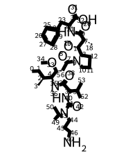 CC[C@H](C)[C@@H]([C@@H](CC(=O)N1CCCC1[C@H](OC)[C@@H](C)C(=O)NC(Cc1ccccc1)C(=O)O)OC)N(C)C(=O)C(NC(=O)N(CCCN)C(C)C)C(C)C